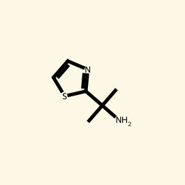 CC(C)(N)c1n[c]cs1